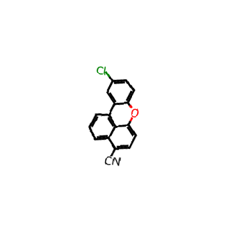 N#Cc1ccc2c3c(cccc13)-c1cc(Cl)ccc1O2